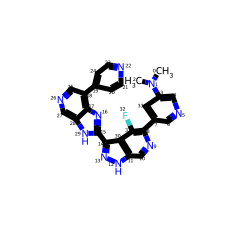 CN(C)c1cncc(-c2ncc3[nH]nc(-c4nc5c(-c6ccncc6)cncc5[nH]4)c3c2F)c1